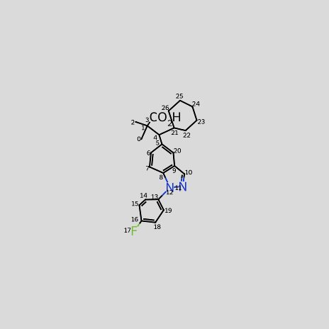 CC(C)(C(=O)O)C(c1ccc2c(cnn2-c2ccc(F)cc2)c1)C1CCCCC1